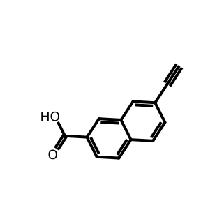 C#Cc1ccc2ccc(C(=O)O)cc2c1